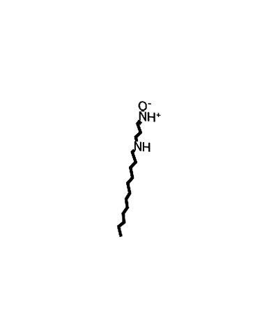 CCCCCCCCCCCCNCCC=[NH+][O-]